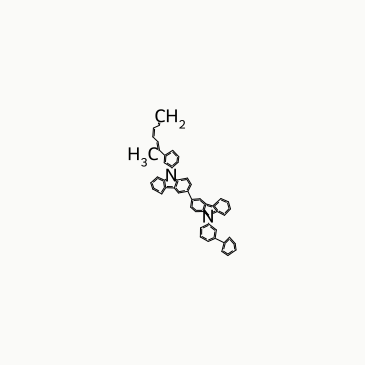 C=C/C=C\C=C(/C)c1cccc(-n2c3ccccc3c3cc(-c4ccc5c(c4)c4ccccc4n5-c4cccc(-c5ccccc5)c4)ccc32)c1